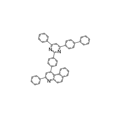 c1ccc(-c2ccc(-c3cc(-c4ccccc4)nc(-c4ccc(-c5cc(-c6ccccc6)nc6ccc7ccccc7c56)cc4)n3)cc2)cc1